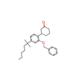 CCCCCC(C)(C)c1ccc(C2CCCC(=O)C2)c(OCc2ccccc2)c1